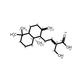 C=C1CCC2C(C)(C)CCC[C@]2(C)C1C/C=C(\CO)C(=O)O